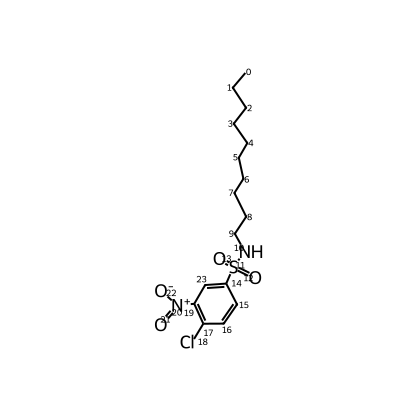 CCCCCCCCCCNS(=O)(=O)c1ccc(Cl)c([N+](=O)[O-])c1